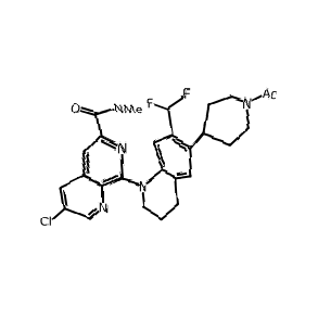 CNC(=O)c1cc2cc(Cl)cnc2c(N2CCCc3cc(C4CCN(C(C)=O)CC4)c(C(F)F)cc32)n1